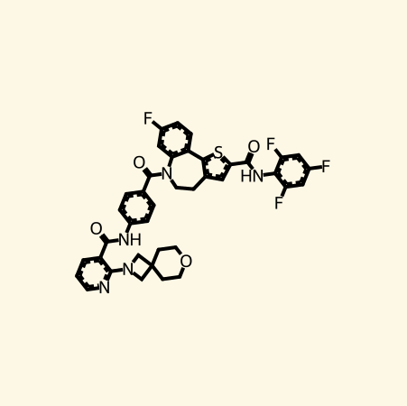 O=C(Nc1c(F)cc(F)cc1F)c1cc2c(s1)-c1ccc(F)cc1N(C(=O)c1ccc(NC(=O)c3cccnc3N3CC4(CCOCC4)C3)cc1)CC2